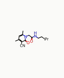 Cc1cc(C)n(CC(=O)NCCC(C)C)c(=O)c1C#N